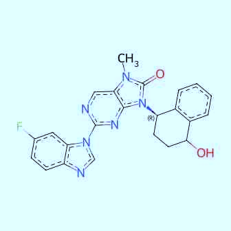 Cn1c(=O)n([C@@H]2CCC(O)c3ccccc32)c2nc(-n3cnc4ccc(F)cc43)ncc21